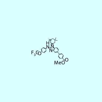 COC(=O)c1ccc(-c2ccc3c(c2)nc(Nc2ccc(OC(F)(F)F)cc2)n3[C@@H]2C[C@H](C)CC(C)(C)C2)cc1